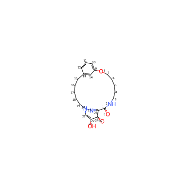 O=C1NCCCCCOc2cccc(c2)CCCCCn2cc(O)c(=O)c1n2